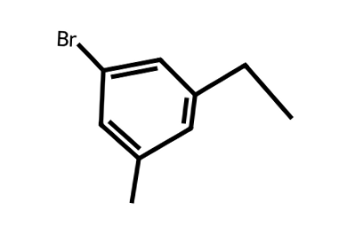 CCc1cc(C)cc(Br)c1